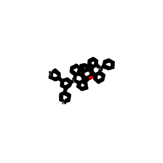 c1ccc(N2c3ccccc3C3(c4ccccc42)c2ccccc2C2(c4ccccc4N(c4cc(-c5ccncc5)cc(-c5ccncc5)c4)c4ccccc42)c2ccccc23)cc1